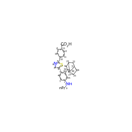 CCCNc1ccc(-c2cnc(-c3ccc(C(=O)O)cc3)s2)c(C23CC4CC(CC(C4)C2)C3)c1